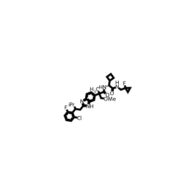 COCC(C)(C(=O)N[C@@H](C(=O)NCC1(F)CC1)C1CCC1)c1ccc2nc(CC(c3c(F)cccc3Cl)C(C)C)[nH]c2c1